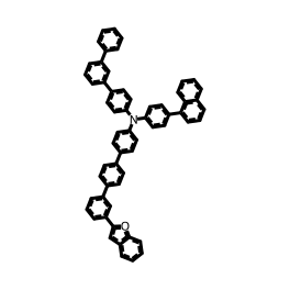 c1ccc(-c2cccc(-c3ccc(N(c4ccc(-c5ccc(-c6cccc(-c7cc8ccccc8o7)c6)cc5)cc4)c4ccc(-c5cccc6ccccc56)cc4)cc3)c2)cc1